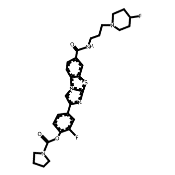 O=C(NCCCN1CCC(F)CC1)c1ccc2c(c1)sc1nc(-c3ccc(OC(=O)N4CCCC4)c(F)c3)cn12